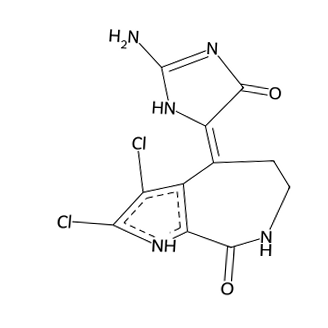 NC1=NC(=O)/C(=C2\CCNC(=O)c3[nH]c(Cl)c(Cl)c32)N1